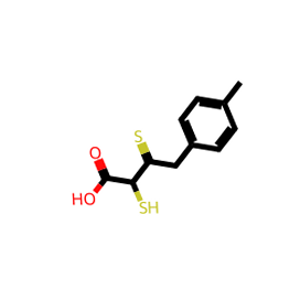 Cc1ccc(CC(=S)C(S)C(=O)O)cc1